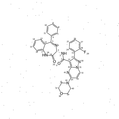 O=C(N[C@H]1N=C(c2ccccc2)c2ccccc2NC1=O)c1c(-c2ccccc2F)nn2ccc(N3CCOCC3)nc12